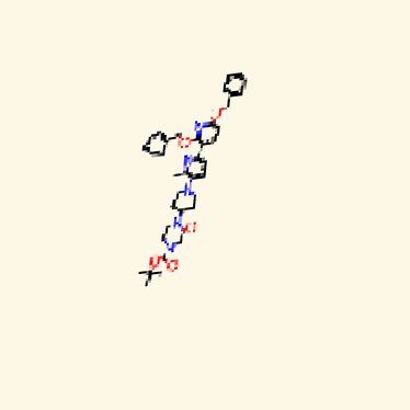 Cc1nc(-c2ccc(OCc3ccccc3)nc2OCc2ccccc2)ccc1N1CCC(N2CCN(C(=O)OC(C)(C)C)CC2=O)CC1